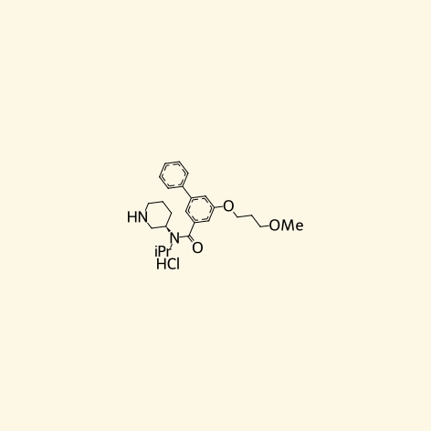 COCCCOc1cc(C(=O)N(C(C)C)[C@@H]2CCCNC2)cc(-c2ccccc2)c1.Cl